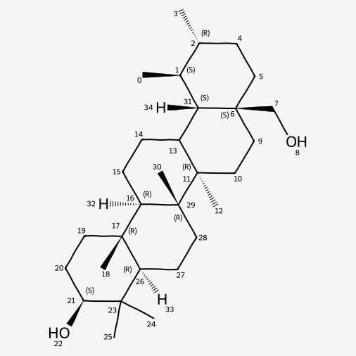 C[C@H]1[C@H](C)CC[C@]2(CO)CC[C@]3(C)C(CC[C@@H]4[C@@]5(C)CC[C@H](O)C(C)(C)[C@@H]5CC[C@]43C)[C@H]12